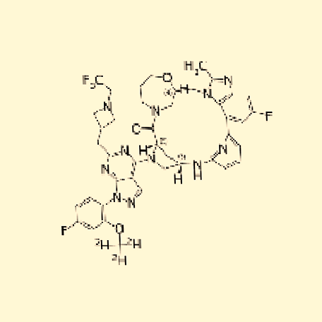 [2H]C([2H])([2H])Oc1cc(F)ccc1-n1ncc2c(N3C[C@@H]4C[C@H]3C(=O)N3CCCO[C@H](C3)Cn3c(C)nc5cc(F)cc(c53)-c3cccc(n3)N4)nc(CC3CN(CC(F)(F)F)C3)nc21